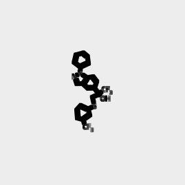 OC(CSc1cccc(C(F)(F)F)c1)(c1ccc2c(cnn2-c2ccccc2)c1)C(F)(F)F